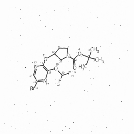 CC(C)(C)OC(=O)N1CCC(Oc2ncc(Br)nc2OC(F)F)C1